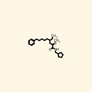 CCC(CCCCCc1ccccc1)C/C(=N\C)C(=O)NCC1CCCC1